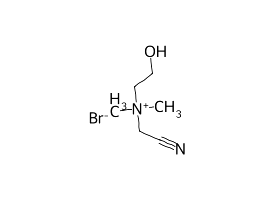 C[N+](C)(CC#N)CCO.[Br-]